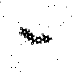 Cc1cnc(N2CCN(C(=O)c3ccc([C@@]4(C)CC(=O)NC4=O)cc3)CC2)c(C)c1